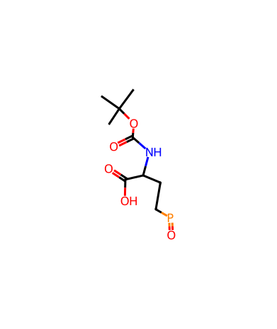 CC(C)(C)OC(=O)NC(CCP=O)C(=O)O